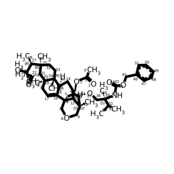 CC(=O)O[C@@H]1C[C@@]23COC[C@](C)([C@@H]2CC[C@H]2C3=CC[C@@]3(C)[C@H](C(N)=O)[C@@](C)([C@H](C)C(C)C)CC[C@]23C)[C@H]1OC[C@@](C)(NC(=O)OCc1ccccc1)C(C)C